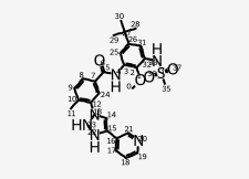 COc1c(NC(=O)c2ccc(C)c(N3C=C(c4cccnc4)NN3)c2)cc(C(C)(C)C)cc1NS(C)(=O)=O